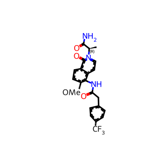 COc1ccc2c(=O)n([C@H](C)C(N)=O)ccc2c1NC(=O)Cc1ccc(C(F)(F)F)cc1